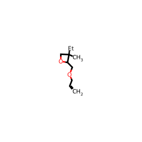 C=CCOCC1OCC1(C)CC